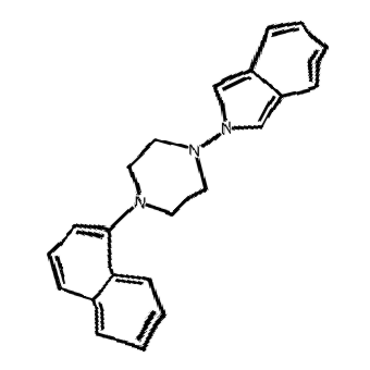 c1ccc2cn(N3CCN(c4cccc5ccccc45)CC3)cc2c1